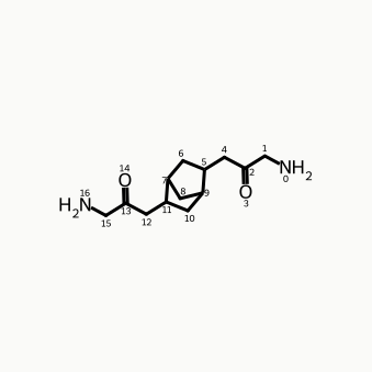 NCC(=O)CC1CC2CC1CC2CC(=O)CN